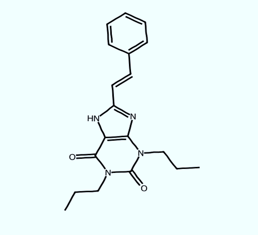 CCCn1c(=O)c2[nH]c(/C=C/c3ccccc3)nc2n(CCC)c1=O